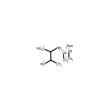 CC#N.CC#N.CC(O)C(N)C(=O)O.[NaH]